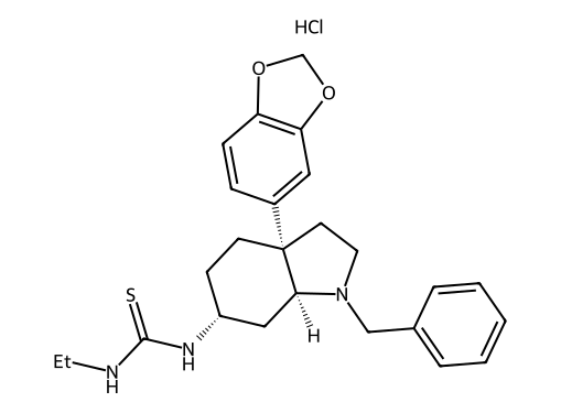 CCNC(=S)N[C@@H]1CC[C@@]2(c3ccc4c(c3)OCO4)CCN(Cc3ccccc3)[C@H]2C1.Cl